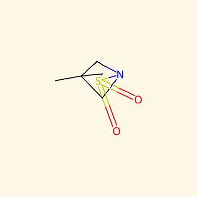 CC12CN(C1)S(=O)(=O)C2